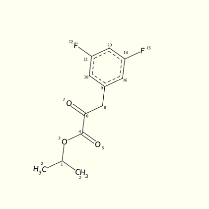 CC(C)OC(=O)C(=O)Cc1cc(F)cc(F)c1